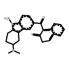 CN(C)C1CCc2c(c3cc(C(=O)C4=c5ccccc5=CCC4=S)ccc3n2N)C1